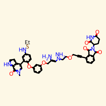 CCSNc1ccc(Oc2cccc(OC/C(N)=C/N(N)CCOCC#Cc3cccc4c3C(=O)N(C3CCC(=O)NC3=O)C4=O)c2)c(-c2cn(C)c(=O)c3[nH]ccc23)c1